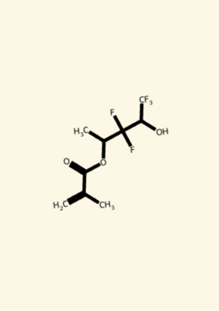 C=C(C)C(=O)OC(C)C(F)(F)C(O)C(F)(F)F